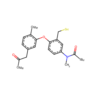 COC(=O)Cc1ccc(OC)c(Oc2ccc(N(C)C(=O)C(C)(C)C)cc2CS)c1